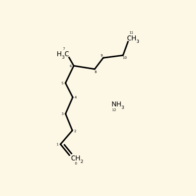 C=CCCCCC(C)CCCC.N